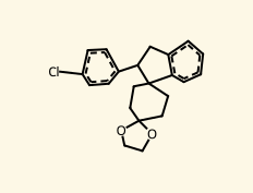 Clc1ccc(C2Cc3ccccc3C23CCC2(CC3)OCCO2)cc1